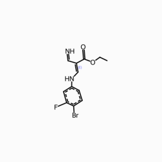 CCOC(=O)/C(C=N)=C/Nc1ccc(Br)c(F)c1